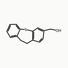 OCc1ccc2c(c1)Sc1ccccc1CC2